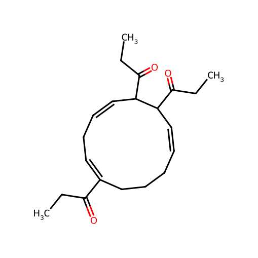 CCC(=O)C1=CCC=CC(C(=O)CC)C(C(=O)CC)C=CCCC1